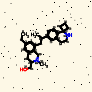 CCc1cc(CC(C)c2ccc3c(c2)CCNC32CCC2)c2c(c1)CC(CO)N(C)C2